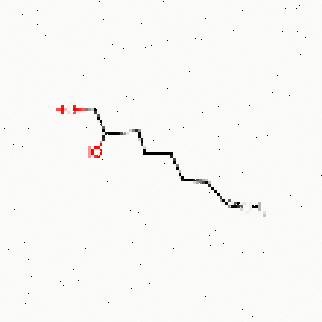 C=CCCCCCC(O)CO